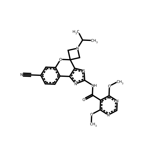 COc1ncnc(OC)c1C(=O)Nc1nc2c(s1)C1(CN(C(C)C)C1)Oc1cc(C#N)ccc1-2